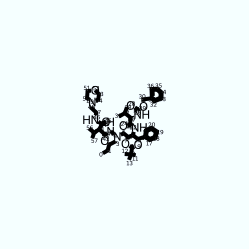 CCCCN(CC(OC(=O)C(C)(C)C)C(Cc1ccccc1)NC(=O)[C@@H](NC(=O)OCc1ccccc1)C(C)C)NC(=O)C(C(=O)NCCN1CCOCC1)C(C)C